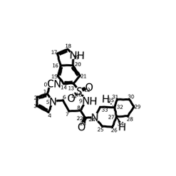 N#Cc1cccn1CCC(NS(=O)(=O)c1ccc2cc[nH]c2c1)C(=O)N1CC[C@H]2CCCC[C@@H]2C1